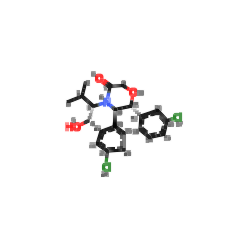 CC(C)[C@@H](CO)N1C(=O)CO[C@H](c2cccc(Cl)c2)[C@H]1c1ccc(Cl)cc1